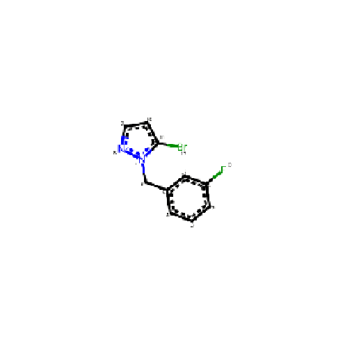 Fc1cccc(Cn2nccc2Br)c1